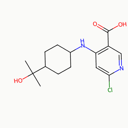 CC(C)(O)C1CCC(Nc2cc(Cl)ncc2C(=O)O)CC1